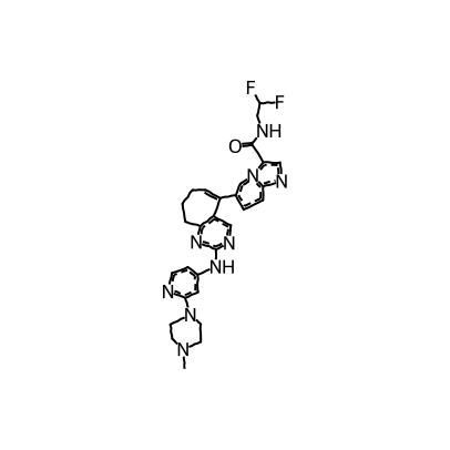 CN1CCN(c2cc(Nc3ncc4c(n3)CCCC=C4c3ccc4ncc(C(=O)NCC(F)F)n4c3)ccn2)CC1